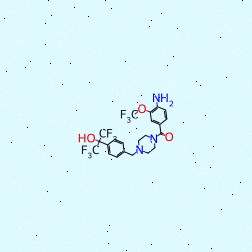 Nc1ccc(C(=O)N2CCN(Cc3ccc(C(O)(C(F)(F)F)C(F)(F)F)cc3)CC2)cc1OC(F)(F)F